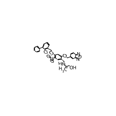 C[C@@H](CO)NCc1cc([N+](=O)[O-])c(OCc2cccc(-c3ccccc3)c2Cl)cc1OCc1ccc2nonc2c1